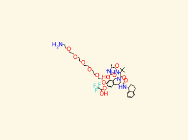 CC(C(=O)NC(C(=O)N1Cc2cc(OCCOCCOCCOCCOCCOCCN)ccc2C[C@H]1C(=O)N[C@@H]1CCCc2ccccc21)C(C)(C)C)N(C)C(=O)O.O=C(O)C(F)(F)F